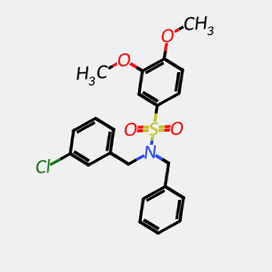 COc1ccc(S(=O)(=O)N(Cc2ccccc2)Cc2cccc(Cl)c2)cc1OC